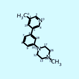 Cc1cncc(-c2cccc(N3CCN(C)CC3)c2)c1